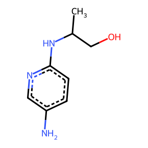 CC(CO)Nc1ccc(N)cn1